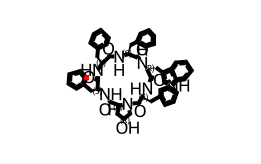 O=C1N[C@@H](Cc2ccccc2)C(=O)N[C@H](Cc2c[nH]c3ccccc23)C(=O)N[C@@H](Cc2ccccc2)C(=O)N2C[C@H](O)C[C@@H]2C(=O)N[C@@H](Cc2ccccc2)C(=O)N[C@H]1Cc1ccccc1